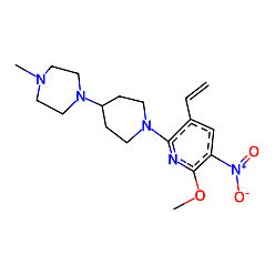 C=Cc1cc([N+](=O)[O-])c(OC)nc1N1CCC(N2CCN(C)CC2)CC1